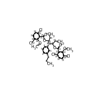 CCCc1cccc(N(C(CC)OC(=O)c2c(Cl)ccc(Cl)c2OC)C(CC)OC(=O)c2c(Cl)ccc(Cl)c2OC)c1